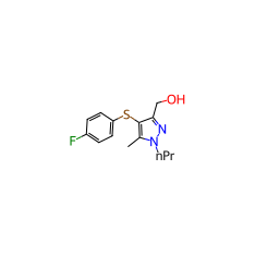 CCCn1nc(CO)c(Sc2ccc(F)cc2)c1C